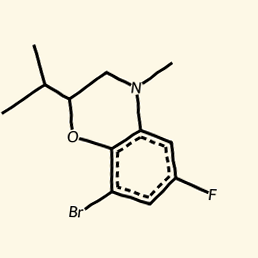 CC(C)C1CN(C)c2cc(F)cc(Br)c2O1